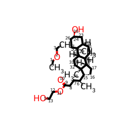 CCOCC.C[C@H](CCC(=O)OCCO)[C@H]1CC[C@H]2[C@@H]3CC[C@@H]4C[C@H](O)CC[C@]4(C)[C@H]3CC[C@]12C